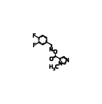 Cn1cncc1C(=O)ON=Cc1ccc(F)c(F)c1